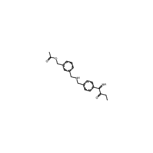 CCC(=O)C(=N)c1ccc(CNCc2cccc(COC(C)=O)c2)cc1